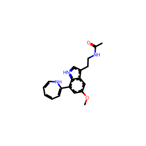 COc1cc(C2=CC=CC=CN2)c2[nH]cc(CCNC(C)=O)c2c1